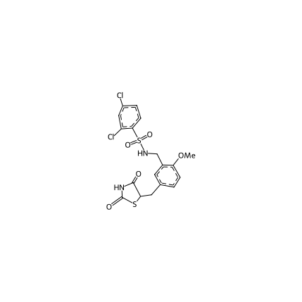 COc1ccc(CC2SC(=O)NC2=O)cc1CNS(=O)(=O)c1ccc(Cl)cc1Cl